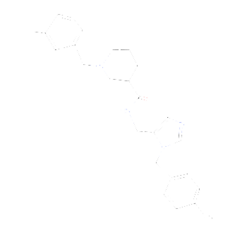 C[C@H](NC(=O)C1CCCN(Cc2cccc(C(F)(F)F)c2)C1)c1cncn1Cc1ccc(C#N)cc1